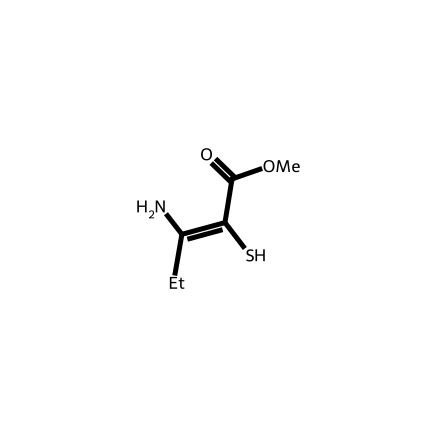 CCC(N)=C(S)C(=O)OC